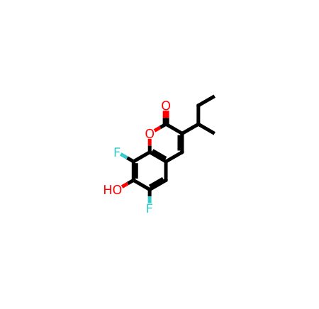 CCC(C)c1cc2cc(F)c(O)c(F)c2oc1=O